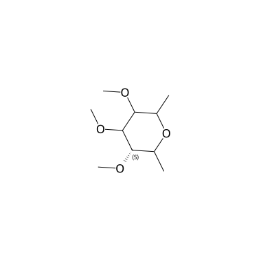 COC1C(C)OC(C)[C@H](OC)C1OC